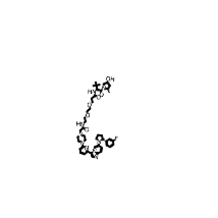 C[C@@H]1C[C@@H](O)CN1C(=O)[C@@H](NC(=O)CCOCCOCCNC(=O)CN1CCN(c2cccc(-c3cnc4ccc(N5CCC[C@@H]5c5cccc(F)c5)cn34)n2)CC1)C(C)(C)C